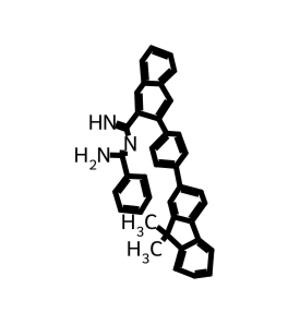 CC1(C)c2ccccc2-c2ccc(-c3ccc(-c4cc5ccccc5cc4C(=N)/N=C(\N)c4ccccc4)cc3)cc21